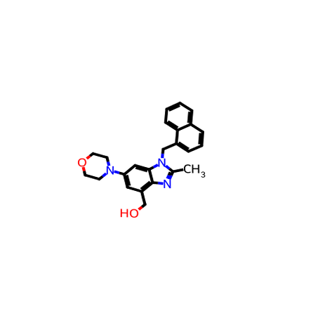 Cc1nc2c(CO)cc(N3CCOCC3)cc2n1Cc1cccc2ccccc12